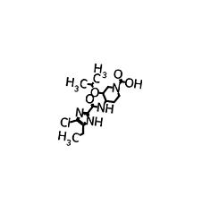 CCc1[nH]c(C(=O)NC2CCN(C(=O)O)CC2OC(C)C)nc1Cl